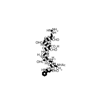 CNC(=O)[C@@H](NC(=O)[C@@H](NC(=O)[C@@H](NC(=O)[C@H](C)NC(=O)[C@@H](NC(=O)[C@H](C)NC(=O)[C@@H](NC(=O)[C@H](C)NC(C)=O)N[C@@H](C=O)Cc1c[nH]c2ccccc12)N[C@@H](C)C=O)N[C@@H](C=O)CCC(=O)O)N[C@@H](C=O)CC(C)C)N[C@@H](C=O)CCCNC(=N)N